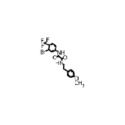 COc1ccc(CCNC(=O)C(=O)Nc2ccc(C(F)(F)F)c(Br)c2)cc1